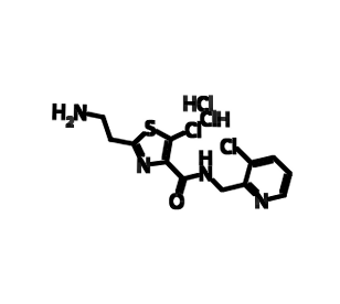 Cl.Cl.NCCc1nc(C(=O)NCc2ncccc2Cl)c(Cl)s1